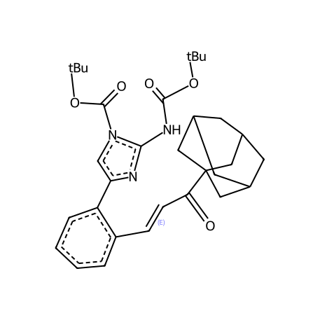 CC(C)(C)OC(=O)Nc1nc(-c2ccccc2/C=C/C(=O)C23CC4CC(CC(C4)C2)C3)cn1C(=O)OC(C)(C)C